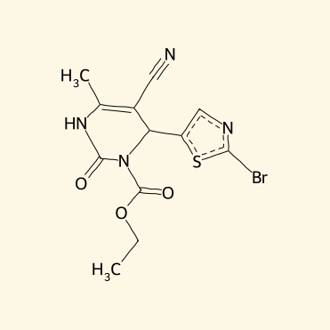 CCOC(=O)N1C(=O)NC(C)=C(C#N)C1c1cnc(Br)s1